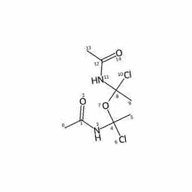 CC(=O)NC(C)(Cl)OC(C)(Cl)NC(C)=O